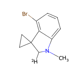 [2H]C1N(C)c2cccc(Br)c2C12CC2